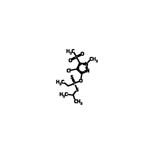 CCP(=S)(Oc1nn(C)c(S(C)(=O)=O)c1Cl)SC(C)C